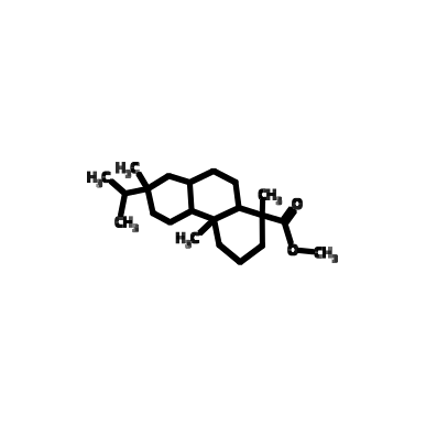 COC(=O)C1(C)CCCC2(C)C3CCC(C)(C(C)C)CC3CCC12